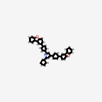 c1ccc(-c2cc(-c3ccc(-c4ccc5oc6ccccc6c5c4)cc3)cc(-c3ccc(-c4ccc5oc6ccccc6c5c4)cc3)n2)cc1